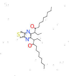 CCCCCCCCC(=O)C(CC)c1nc2cscc2nc1C(CC)C(=O)CCCCCCCC